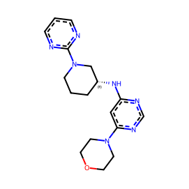 c1cnc(N2CCC[C@@H](Nc3cc(N4CCOCC4)ncn3)C2)nc1